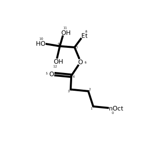 CCCCCCCCCCCC(=O)OC(CC)C(O)(O)O